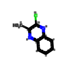 O=C(O)c1nc2ccccc2nc1Cl